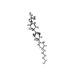 CCCCCCC1CCC(c2cnc(-c3ccc(OC(F)F)cc3)nc2)CC1